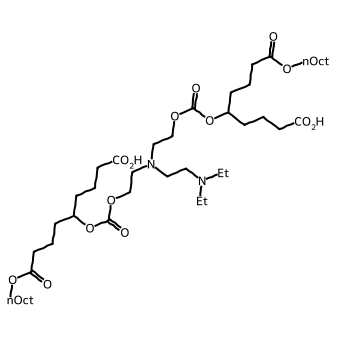 CCCCCCCCOC(=O)CCCC(CCCC(=O)O)OC(=O)OCCN(CCOC(=O)OC(CCCC(=O)O)CCCC(=O)OCCCCCCCC)CCN(CC)CC